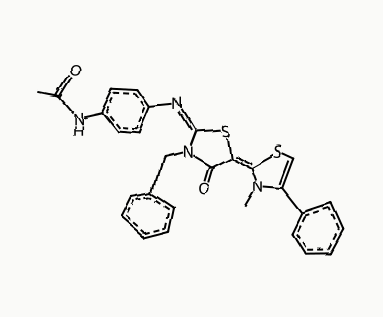 CC(=O)Nc1ccc(N=C2SC(=C3SC=C(c4ccccc4)N3C)C(=O)N2Cc2ccccc2)cc1